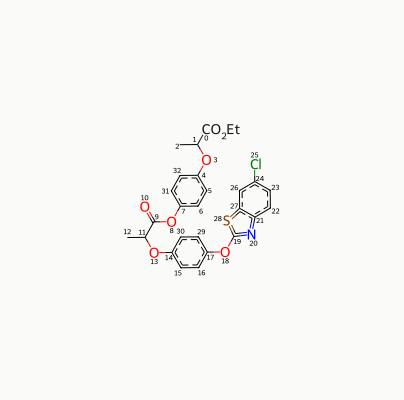 CCOC(=O)C(C)Oc1ccc(OC(=O)C(C)Oc2ccc(Oc3nc4ccc(Cl)cc4s3)cc2)cc1